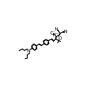 [C-]#[N+]C1=C(/C=C/c2ccc(/C=C/c3ccc(N(CCCC)CCCC)cc3)cc2)C(C)(C)OC1=C(C#N)C#N